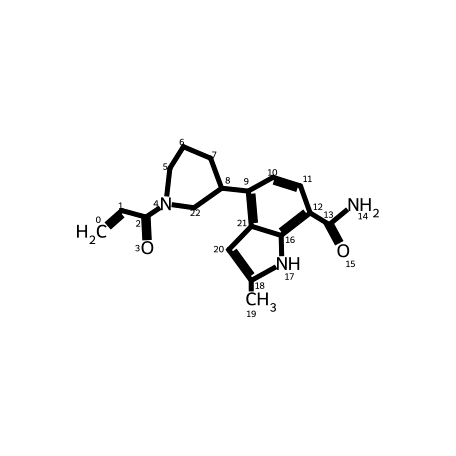 C=CC(=O)N1CCCC(c2ccc(C(N)=O)c3[nH]c(C)cc23)C1